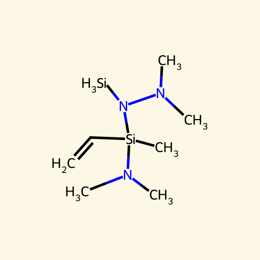 C=C[Si](C)(N(C)C)N([SiH3])N(C)C